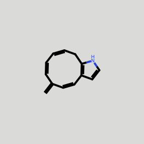 C=C1/C=C\C=C/Cc2[nH]ccc2/C=C\1